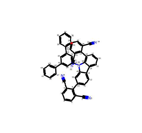 N#Cc1cccc(C#N)c1-c1ccc2c3cccc(-c4c(C#N)cccc4C#N)c3n(-c3cc(-c4ccccc4)cc(-c4ccccc4)c3)c2c1